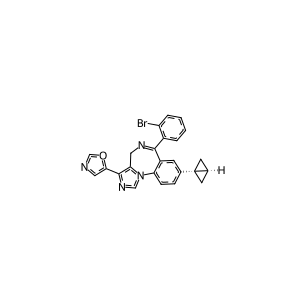 Brc1ccccc1C1=NCc2c(-c3cnco3)ncn2-c2ccc([C@]34C[C@H]3C4)cc21